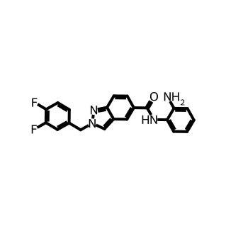 Nc1ccccc1NC(=O)c1ccc2nn(Cc3ccc(F)c(F)c3)cc2c1